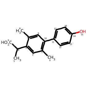 Cc1cc(C(C)C(=O)O)c(C)cc1-c1ccc(O)cc1